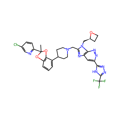 CC1(c2ccc(Cl)cn2)Oc2cccc(C3CCN(Cc4nc5cc(-c6nnc(C(F)(F)F)[nH]6)nnc5n4C[C@@H]4CCO4)CC3)c2O1